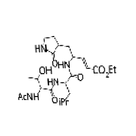 CCOC(=O)C=CC(CC1CCNC1=O)NC(=O)C(CC(C)C)NC(=O)C(NC(C)=O)C(C)O